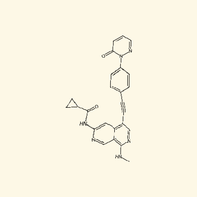 CNc1ncc(C#Cc2ccc(-n3ncccc3=O)cc2)c2cc(NC(=O)C3CC3)ncc12